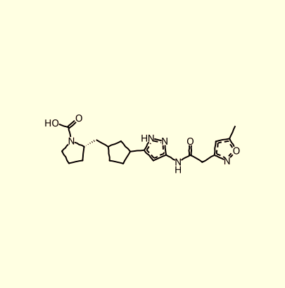 Cc1cc(CC(=O)Nc2cc(C3CCC(C[C@@H]4CCCN4C(=O)O)C3)[nH]n2)no1